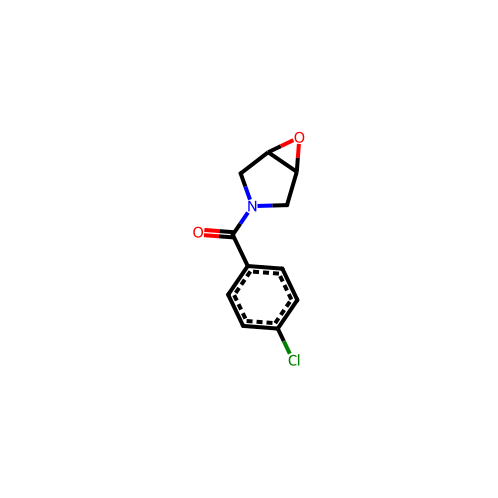 O=C(c1ccc(Cl)cc1)N1CC2OC2C1